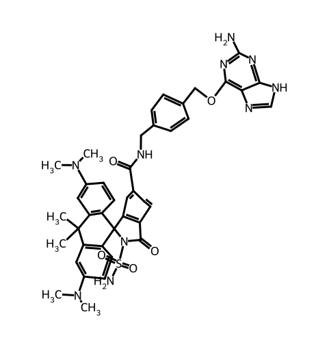 CN(C)c1ccc2c(c1)C(C)(C)c1cc(N(C)C)ccc1C21c2cc(C(=O)NCc3ccc(COc4nc(N)nc5[nH]cnc45)cc3)ccc2C(=O)N1S(N)(=O)=O